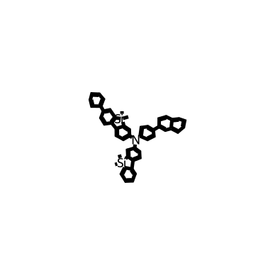 C[Si]1(C)c2ccccc2-c2ccc(N(c3ccc(-c4ccc5ccccc5c4)cc3)c3ccc4c(c3)[Si](C)(C)c3cc(-c5ccccc5)ccc3-4)cc21